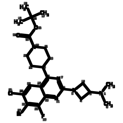 CN(C)C1CN(c2nc(C3CCN(C(=O)OC(C)(C)C)CC3)c3cc(Cl)c(Br)c(F)c3n2)C1